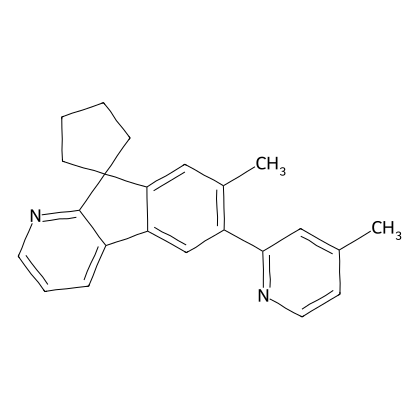 Cc1ccnc(-c2cc3c(cc2C)C2(CCCC2)c2ncccc2-3)c1